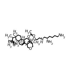 CC(=O)O[C@@H]1C[C@]23COC[C@@](C)([C@@H]2CC[C@H]2C3=CC[C@@]3(C)[C@H](C(=O)O)[C@@](C)([C@H](C)C(C)C)CC[C@]23C)[C@H]1OCCNC[C@@H](N)CCCCN